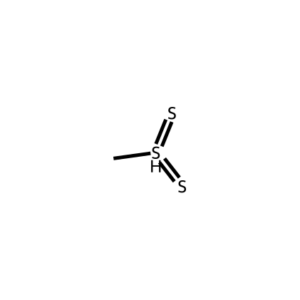 C[SH](=S)=S